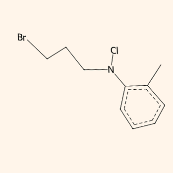 Cc1ccccc1N(Cl)CCCBr